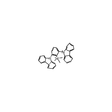 C[Si](C)(C)c1c(-n2c3ccccc3c3ccccc32)cccc1-n1c2ccccc2c2ccccc21